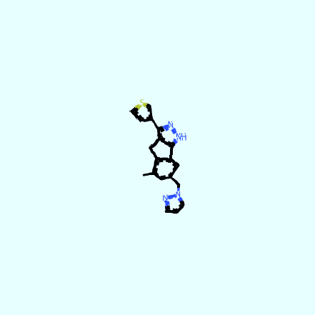 Cc1cc(Cn2cccn2)cc2c1Cc1c(-c3ccsc3)n[nH]c1-2